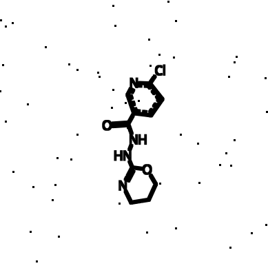 O=C(NNC1=NCCCO1)c1ccc(Cl)nc1